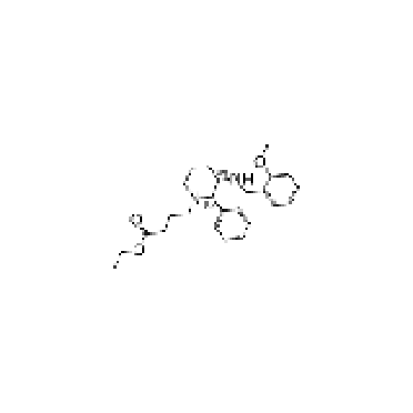 CCOC(=O)CCCN1CCC[C@@H](NCc2ccccc2OC)[C@H]1c1ccccc1